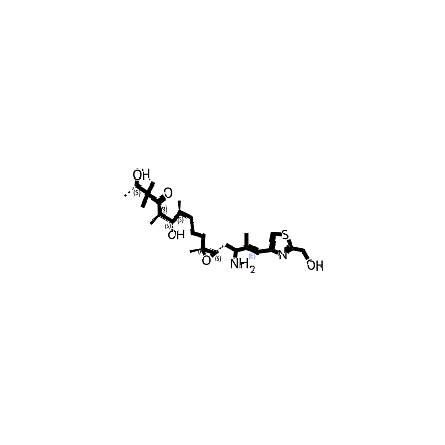 C/C(=C\c1csc(CO)n1)C(N)C[C@@H]1O[C@]1(C)CCC[C@H](C)[C@H](O)[C@@H](C)C(=O)C(C)(C)[C@H](C)O